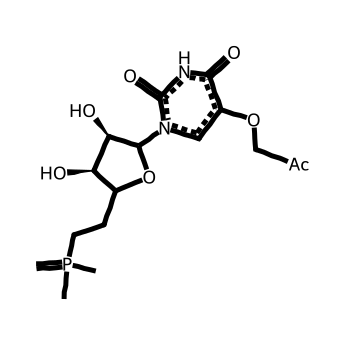 C=P(C)(C)CCC1OC(n2cc(OCC(C)=O)c(=O)[nH]c2=O)[C@H](O)[C@@H]1O